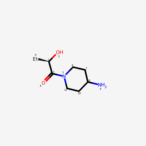 CC[C@@H](O)C(=O)N1CCC(N)CC1